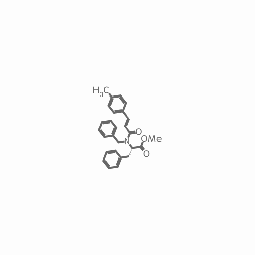 COC(=O)[C@H](Cc1ccccc1)N(Cc1ccccc1)C(=O)/C=C/c1ccc(C)cc1